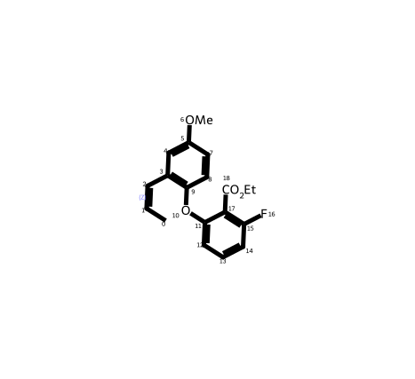 C/C=C\c1cc(OC)ccc1Oc1cccc(F)c1C(=O)OCC